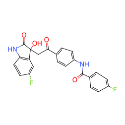 O=C(CC1(O)C(=O)Nc2ccc(F)cc21)c1ccc(NC(=O)c2ccc(F)cc2)cc1